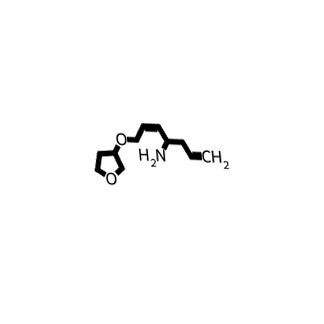 C=CCC(N)/C=C\COC1CCOC1